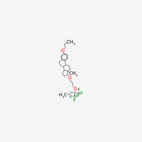 CCCOc1ccc2c(c1)CCC1C2CCC2(C)C(OCCCOC(CCC)(C(F)(F)F)C(F)(F)F)CCC12